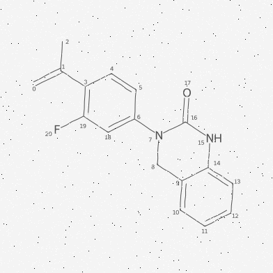 C=C(C)c1ccc(N2Cc3ccccc3NC2=O)cc1F